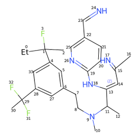 CCC(C)(F)c1cc(CCN(C)C(C)/C(=C/C(C)=N)Nc2ccc(C=N)cn2)cc(C(C)(F)F)c1